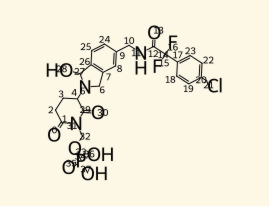 O=C1CCC(N2Cc3cc(CNC(=O)C(F)(F)c4ccc(Cl)cc4)ccc3C2O)C(=O)N1COP(=O)(O)O